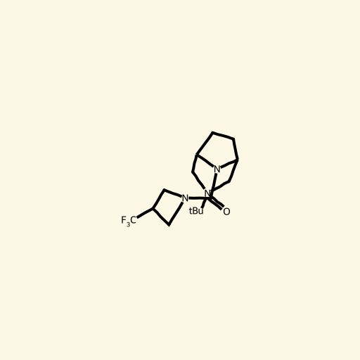 CC(C)(C)N1CC2CCC(C1)N2C(=O)N1CC(C(F)(F)F)C1